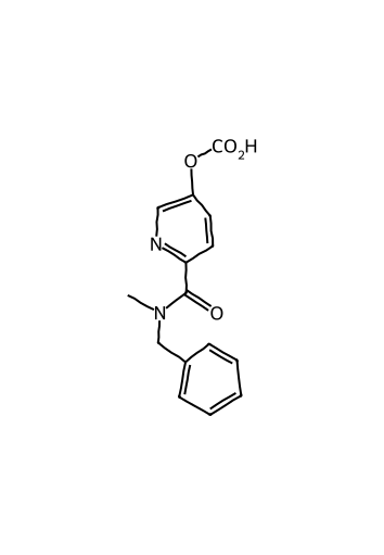 CN(Cc1ccccc1)C(=O)c1ccc(OC(=O)O)cn1